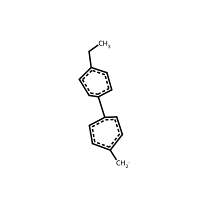 [CH2]c1ccc(-c2ccc(CC)cc2)cc1